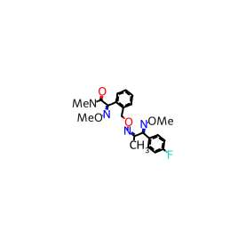 CNC(=O)C(=NOC)c1ccccc1CON=C(C)C(=NOC)c1ccc(F)cc1